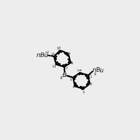 CCCCc1cccc([B]c2cccc(CCCC)c2)c1